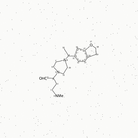 CNCCC(C=O)N1CCN(C(C)c2ccc3c(c2)OCC3)CC1